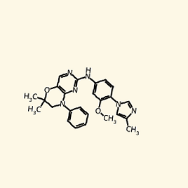 COc1cc(Nc2ncc3c(n2)N(c2ccccc2)CC(C)(C)O3)ccc1-n1cnc(C)c1